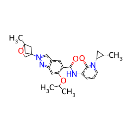 CC(C)Oc1cc2nn(C34COC(C)(C3)C4)cc2cc1C(=O)Nc1cccn([C@@H]2C[C@@H]2C)c1=O